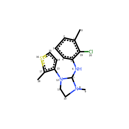 Cc1cccc(NC2N(C)CCN2c2ccsc2C)c1Cl